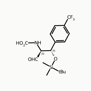 CC(C)(C)[Si](C)(C)O[C@@H](c1ccc(C(F)(F)F)cc1)[C@@H](C=O)NC(=O)O